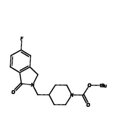 CC(C)(C)OC(=O)N1CCC(CN2Cc3cc(F)ccc3C2=O)CC1